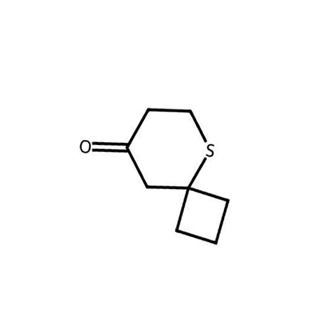 O=C1CCSC2(CCC2)C1